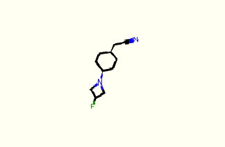 N#CC[C@H]1CC[C@@H](N2CC(F)C2)CC1